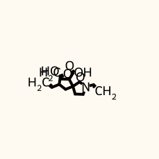 C=CC(CC1(C(C=C)C(=O)O)CCN(C=C)C1=O)C(=O)O